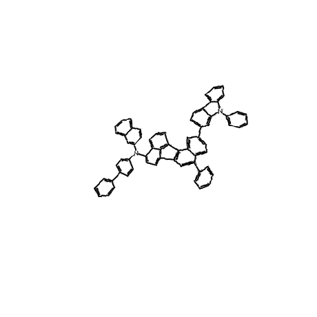 c1ccc(-c2ccc(N(c3ccc4ccccc4c3)c3ccc4c5c(cccc35)-c3c-4cc(-c4ccccc4)c4ccc(-c5ccc6c7ccccc7n(-c7ccccc7)c6c5)cc34)cc2)cc1